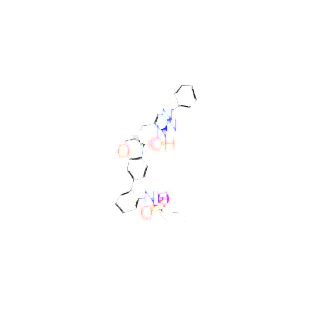 O=S(=O)(Nc1ccccc1-c1ccc2c(c1)OC[C@@H](Cc1cn(-c3ccccc3)nn1)[C@@H]2O)C(F)(F)F